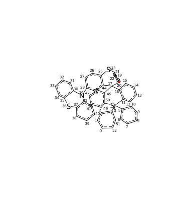 c1ccc([Si]2(c3ccccc3)c3ccccc3C3(c4ccccc4Sc4ccc(N5c6ccccc6Sc6ccccc65)cc43)c3ccccc32)cc1